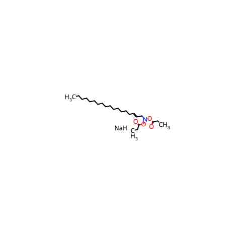 CCCCCCCCCCCCCCCC=CCN(OC(=O)CC)OC(=O)CC.[NaH]